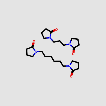 O=C1CCCN1CCCCCCN1CCCC1=O.O=C1CCCN1CCCN1CCCC1=O